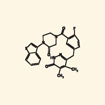 Cc1c(Cc2ccc(F)c(C(=O)N3CCN(c4csc5ccccc45)C(=O)C3)c2)n[nH]c(=O)c1C